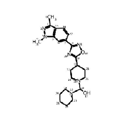 Cc1nn(C)c2cc(-c3noc(C4CCN(C(O)N5CCCCC5)CC4)n3)ccc12